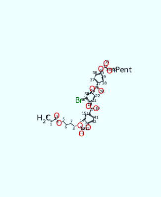 C=CC(=O)OCCCCOC(=O)Oc1ccc(C(=O)Oc2ccc(OC(=O)c3ccc(OC(=O)OCCCCC)cc3)cc2Br)cc1